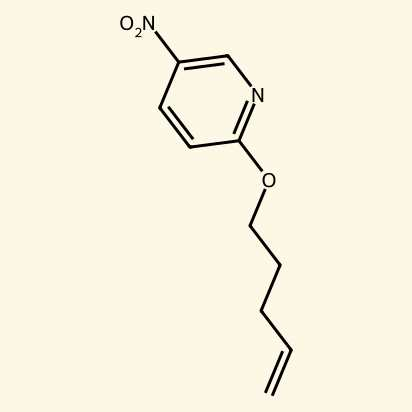 C=CCCCOc1ccc([N+](=O)[O-])cn1